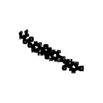 CCC(CC)OC(=O)Oc1ccc(C(=O)NS(=O)(=O)c2ccc(CCNC(=O)c3ccc(Cl)cc3)cc2)cn1